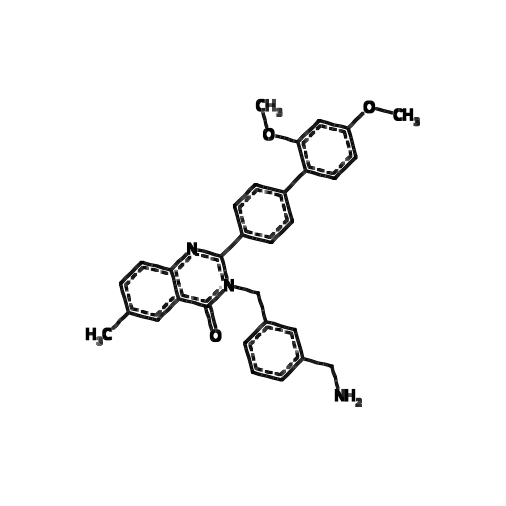 COc1ccc(-c2ccc(-c3nc4ccc(C)cc4c(=O)n3Cc3cccc(CN)c3)cc2)c(OC)c1